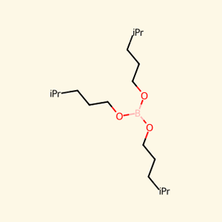 CC(C)CCCOB(OCCCC(C)C)OCCCC(C)C